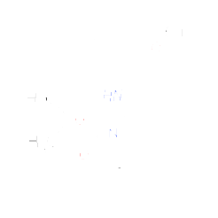 COc1cc2c(cc1CNC1CCC(c3ccccc3)N1C(=O)OC(C)C)CCC2